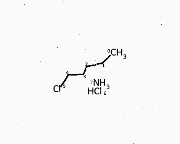 CCCCCCl.Cl.N